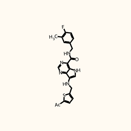 CC(=O)c1ccc(CNc2c[nH]c3c(C(=O)NCc4ccc(F)c(C)c4)ncnc23)s1